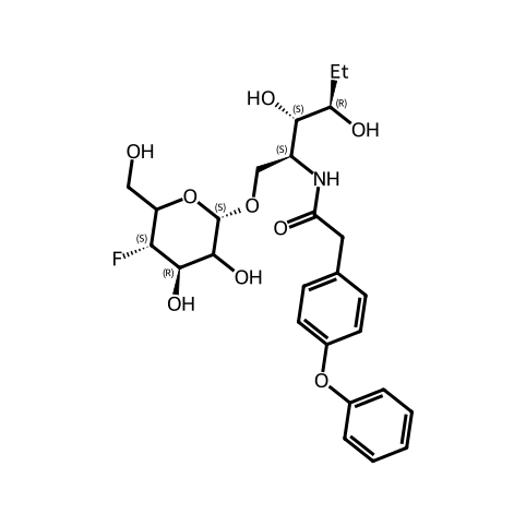 CC[C@@H](O)[C@@H](O)[C@H](CO[C@H]1OC(CO)[C@@H](F)[C@H](O)C1O)NC(=O)Cc1ccc(Oc2ccccc2)cc1